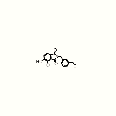 O=C1c2ccc(O)c(O)c2C(=O)N1Cc1cccc(CO)c1